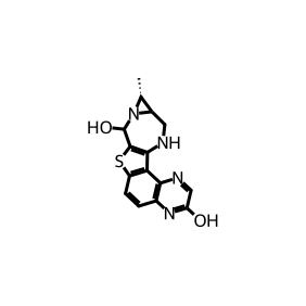 C[C@@H]1C2CNc3c(sc4ccc5nc(O)cnc5c34)C(O)N21